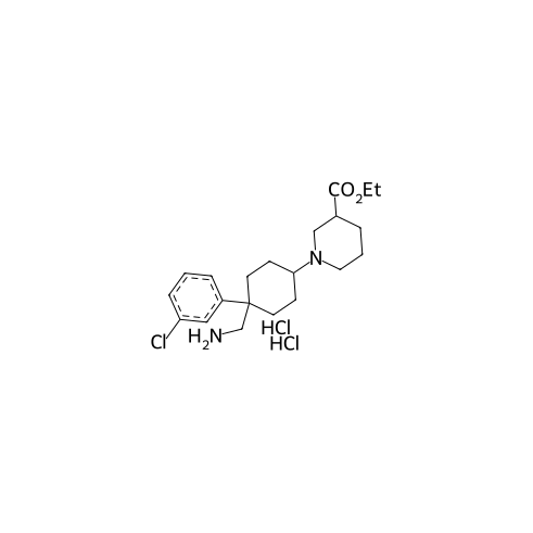 CCOC(=O)C1CCCN(C2CCC(CN)(c3cccc(Cl)c3)CC2)C1.Cl.Cl